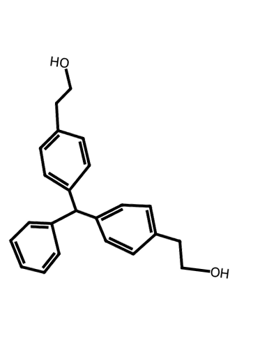 OCCc1ccc(C(c2ccccc2)c2ccc(CCO)cc2)cc1